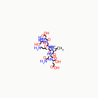 CC(C)C[C@H](NC(=O)[C@H](CCCCN)NC(=O)CNC(=O)[C@H](CC(=O)O)NC(=O)[C@@H](N)CO)C(=O)N[C@@H](CCC(N)=O)C(=O)N[C@@H](CCC(=O)O)C(=O)O